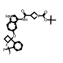 CC(C)(C)OC(=O)N1CC(C(=O)Nc2c[nH]c3ccc(OC4(c5ccccc5C(F)(F)F)CCC4)cc23)C1